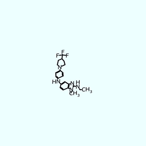 CCNc1nc2cc(Nc3ccc(N4CCC(C(F)(F)F)CC4)cc3)ccc2n1C